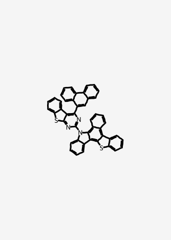 c1ccc2c(c1)cc(-c1nc(-n3c4ccccc4c4c5sc6ccccc6c5c5ccccc5c43)nc3sc4ccccc4c13)c1ccccc12